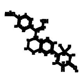 COc1ccc(C(=NO)N2CCCc3cc(C4=NNC(=O)SC4(C)C)ccc32)cc1